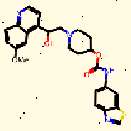 COc1ccc2nccc(C(O)CN3CCC(OC(=O)Nc4ccc5ncsc5c4)CC3)c2c1